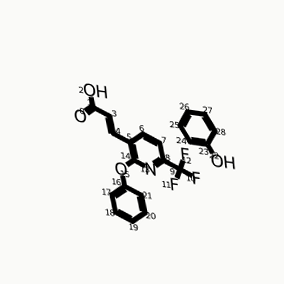 O=C(O)C=Cc1ccc(C(F)(F)F)nc1Oc1ccccc1.Oc1ccccc1